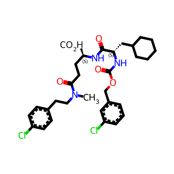 CN(CCc1ccc(Cl)cc1)C(=O)CC[C@H](NC(=O)[C@H](CC1CCCCC1)NC(=O)OCc1cccc(Cl)c1)C(=O)O